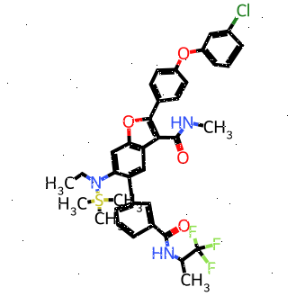 CCN(c1cc2oc(-c3ccc(Oc4cccc(Cl)c4)cc3)c(C(=O)NC)c2cc1-c1cccc(C(=O)NC(C)C(F)(F)F)c1)S(C)(C)C